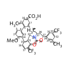 COc1ccc(-c2ccc(C(=O)O)cc2C)cc1-c1ccc(C(F)(F)F)cc1CN1C(=O)O[C@H](c2cc(C)cc(C(F)(F)F)c2)C[C@@H]1C